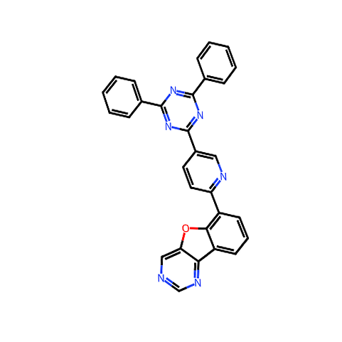 c1ccc(-c2nc(-c3ccccc3)nc(-c3ccc(-c4cccc5c4oc4cncnc45)nc3)n2)cc1